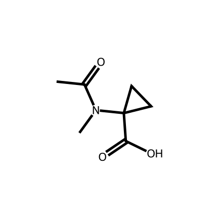 CC(=O)N(C)C1(C(=O)O)CC1